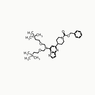 C[Si](C)(C)CCOCN(COCC[Si](C)(C)C)c1cc(C2CCN(C(=O)OCc3ccccc3)CC2)nc2ccnn12